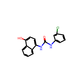 O=C(Nc1cccc(Cl)c1)Nc1ccc(O)c2ccccc12